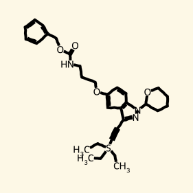 CCS(C#Cc1nn(C2CCCCO2)c2ccc(OCCCNC(=O)OCc3ccccc3)cc12)(CC)CC